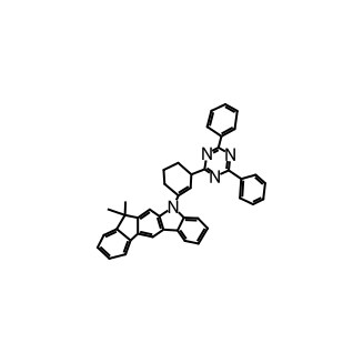 CC1(C)c2ccccc2-c2cc3c4ccccc4n(C4=CC(c5nc(-c6ccccc6)nc(-c6ccccc6)n5)CCC4)c3cc21